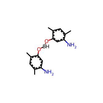 Cc1cc(C)c(OBOc2cc(N)c(C)cc2C)cc1N